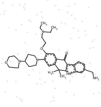 CCN(CC)CCOc1cc2c(cc1N1CCC(N3CCOCC3)CC1)C(C)(C)c1[nH]c3cc(CN)ccc3c1C2=O